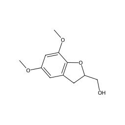 COc1cc2c(c(OC)c1)OC(CO)C2